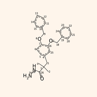 CC(C)(Cc1ccc(OCc2ccccc2)c(OCc2ccccc2)c1)C(=O)NN